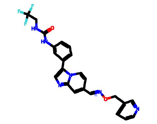 O=C(NCC(F)(F)F)Nc1cccc(-c2cnc3cc(/C=N/OCc4cccnc4)ccn23)c1